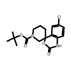 CC(C)(C)OC(=O)N1CCCC2(C1)OC(=O)Nc1ccc(Cl)cc12